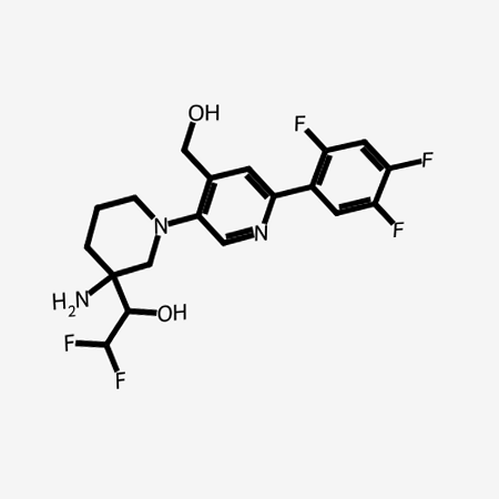 NC1(C(O)C(F)F)CCCN(c2cnc(-c3cc(F)c(F)cc3F)cc2CO)C1